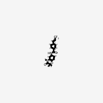 CN1C(=O)C(C)(C)Oc2ccc(NC(=O)c3ccc(/C=C/C(F)(F)F)cc3)cc21